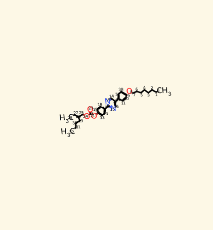 CCCCCCCCOc1ccc(-c2cnc(-c3ccc(OC(=O)OCC(CC)CCCC)cc3)nc2)cc1